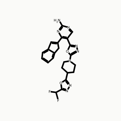 Nc1ncc(-c2nnc(N3CCC(c4nnc(C(F)F)o4)CC3)o2)c(C2=Cc3ccccc3C2)n1